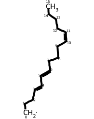 [CH2]CC/C=C/C=C/CCC/C=C\CCCC